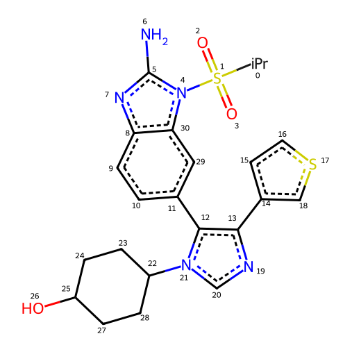 CC(C)S(=O)(=O)n1c(N)nc2ccc(-c3c(-c4ccsc4)ncn3C3CCC(O)CC3)cc21